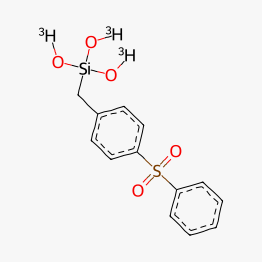 [3H]O[Si](Cc1ccc(S(=O)(=O)c2ccccc2)cc1)(O[3H])O[3H]